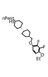 CCCCC[SiH]1CCC([C@H]2CC[C@H](COc3ccc(OCC)c(F)c3F)CC2)CC1